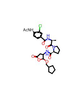 CC(=O)Nc1ccc(C(=O)N[C@@H](C)C(=O)N2CCC[C@H]2C(=O)NC2CC(=O)OC2OCC2CCCC2)cc1Cl